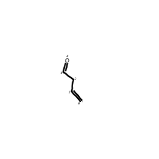 [CH]=CC[C]=O